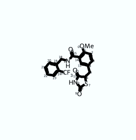 COc1ccc(CC2SC(=O)NC2=O)cc1C(=O)NCc1ccccc1C(F)(F)F